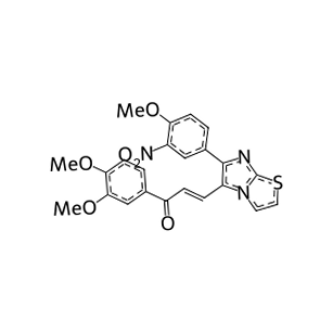 COc1ccc(C(=O)C=Cc2c(-c3ccc(OC)c([N+](=O)[O-])c3)nc3sccn23)cc1OC